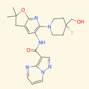 CC1(C)Cc2cc(NC(=O)c3cnn4cccnc34)c(N3CCC(F)(CO)CC3)nc2O1